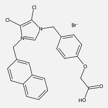 O=C(O)COc1ccc(Cn2c[n+](Cc3ccc4ccccc4c3)c(Cl)c2Cl)cc1.[Br-]